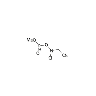 CO[PH](=O)ON(Cl)CC#N